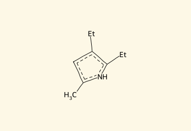 CCc1cc(C)[nH]c1CC